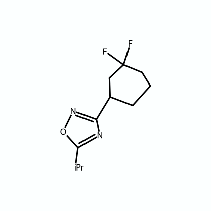 CC(C)c1nc(C2CCCC(F)(F)C2)no1